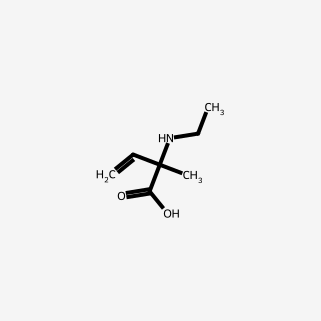 C=CC(C)(NCC)C(=O)O